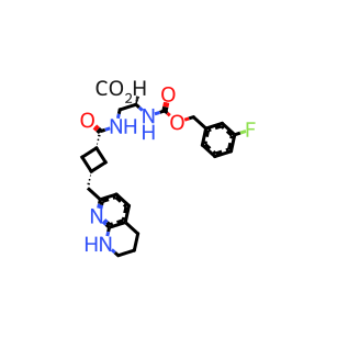 O=C(N[C@@H](CNC(=O)[C@H]1C[C@@H](Cc2ccc3c(n2)NCCC3)C1)C(=O)O)OCc1cccc(F)c1